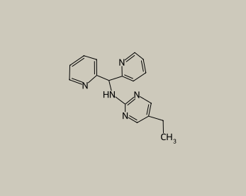 CCc1cnc(NC(c2ccccn2)c2ccccn2)nc1